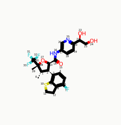 C[C@H]1[C@@H](c2ccc(F)c3c2SCC3)[C@H](C(=O)Nc2ccc([C@@H](O)CO)nc2)O[C@@]1(C)C(F)(F)F